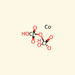 [Co].[O]=[Cr](=[O])([OH])[O][Cr](=[O])(=[O])[OH]